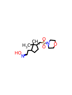 CC1(C)C(C/C=N\O)CCC1CS(=O)(=O)N1CCOCC1